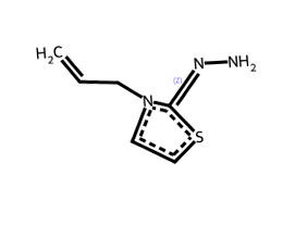 C=CCn1ccs/c1=N\N